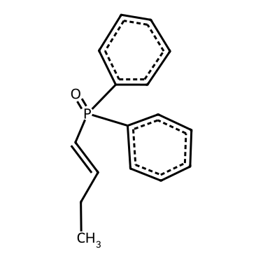 CCC=CP(=O)(c1ccccc1)c1ccccc1